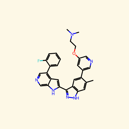 Cc1cc2[nH]nc(-c3cc4c(-c5ccccc5F)cncc4[nH]3)c2cc1-c1cncc(OCCN(C)C)c1